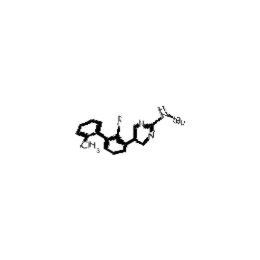 Cc1ccccc1-c1cccc(-c2cnc(NC(C)(C)C)nc2)c1F